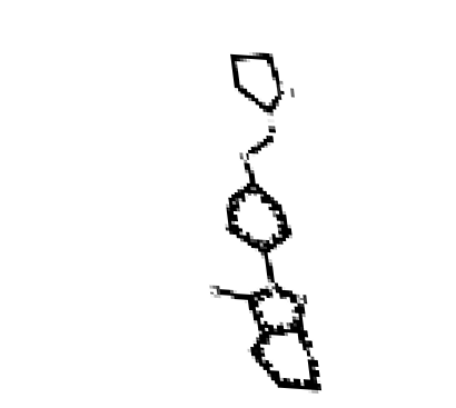 Clc1c2ccccc2nn1-c1ccc(OC[C@@H]2CCCN2)cc1